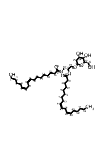 CCCCC/C=C\C/C=C\CCCCCCCC(=O)OC[C@H](COC1C[C@@H](O)[C@@H](O)[C@@H](CO)O1)OC(=O)CCCCCCC/C=C\C/C=C\CCCCC